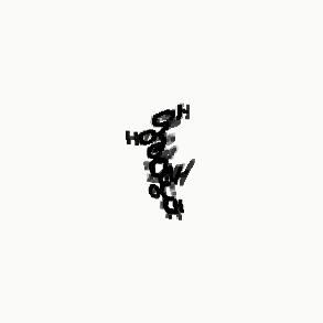 O=C(c1cccnc1)c1c[nH]c2cc(OCC(O)CO)ccc12